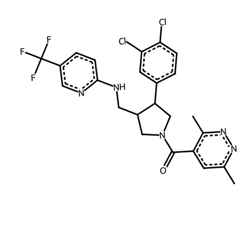 Cc1cc(C(=O)N2CC(CNc3ccc(C(F)(F)F)cn3)C(c3ccc(Cl)c(Cl)c3)C2)c(C)nn1